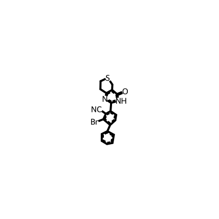 N#Cc1c(-c2nc3c(c(=O)[nH]2)CSCC3)ccc(-c2ccccc2)c1Br